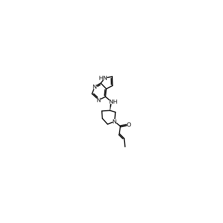 CC=CC(=O)N1CCC[C@@H](Nc2ncnc3[nH]ccc23)C1